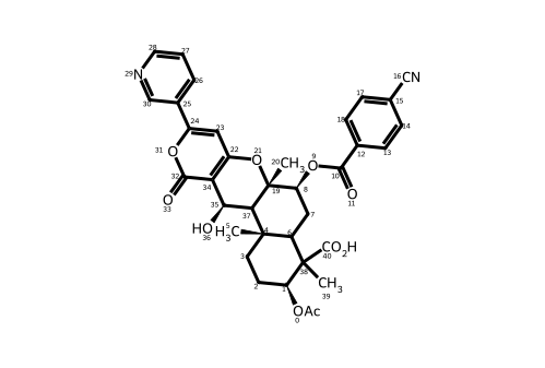 CC(=O)O[C@H]1CC[C@@]2(C)C(C[C@H](OC(=O)c3ccc(C#N)cc3)[C@@]3(C)Oc4cc(-c5cccnc5)oc(=O)c4[C@H](O)C23)C1(C)C(=O)O